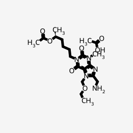 CC(=O)O.CCOCn1c(CN)nc2c1c(=O)n(CCCC[C@@H](C)OC(C)=O)c(=O)n2C